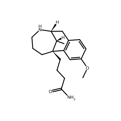 COc1ccc2c(c1)[C@]1(CCCC(N)=O)CCCN[C@H](C2)[C@@H]1C